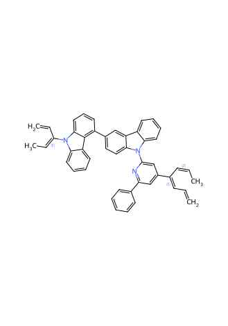 C=C/C=C(\C=C/C)c1cc(-c2ccccc2)nc(-n2c3ccccc3c3cc(-c4cccc5c4c4ccccc4n5/C(C=C)=C/C)ccc32)c1